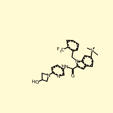 C[Si](C)(C)c1ccc2cc(C(=O)Nc3ccc(N4CC(O)C4)nc3)n(Cc3ccccc3C(F)(F)F)c2c1